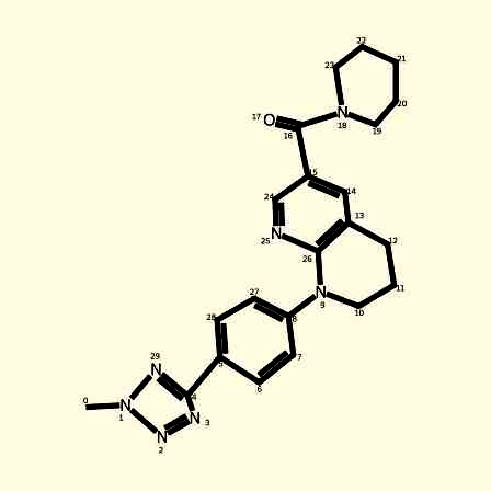 Cn1nnc(-c2ccc(N3CCCc4cc(C(=O)N5CCCCC5)cnc43)cc2)n1